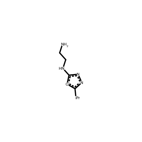 CC(C)c1nnc(NCCN)o1